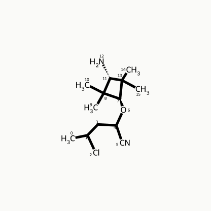 CC(Cl)CC(C#N)O[C@H]1C(C)(C)[C@H](N)C1(C)C